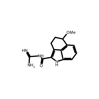 COC1CCc2c(C(=O)NC(=N)N)[nH]c3cccc1c23